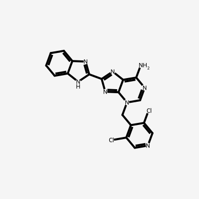 Nc1ncn(Cc2c(Cl)cncc2Cl)c2nc(-c3nc4ccccc4[nH]3)nc1-2